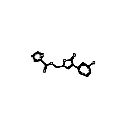 O=C1OC(COC(=O)c2cccs2)C=C1c1cccc(Cl)c1